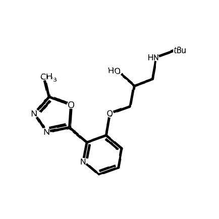 Cc1nnc(-c2ncccc2OCC(O)CNC(C)(C)C)o1